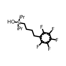 CC(C)[Si](O)(CCCCc1c(F)c(F)c(F)c(F)c1F)C(C)C